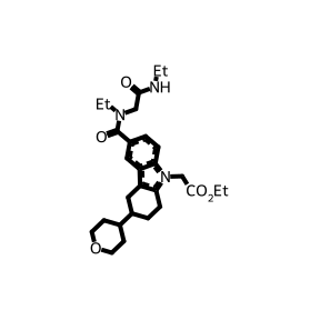 CCNC(=O)CN(CC)C(=O)c1ccc2c(c1)c1c(n2CC(=O)OCC)CCC(C2CCOCC2)C1